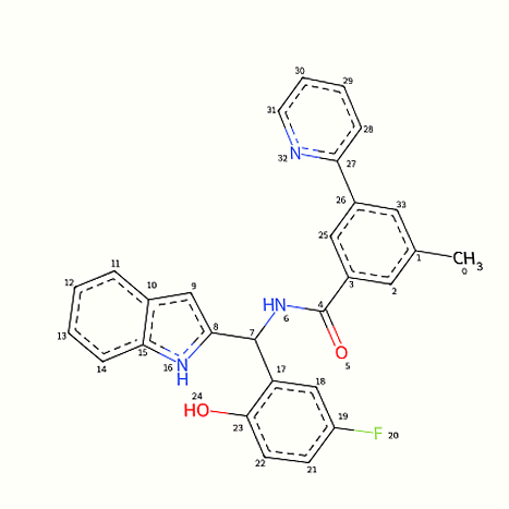 Cc1cc(C(=O)NC(c2cc3ccccc3[nH]2)c2cc(F)ccc2O)cc(-c2ccccn2)c1